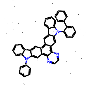 c1ccc(-c2ccccc2-n2c3ccccc3c3cc4c5cc6c7ccccc7n(-c7ccccc7)c6cc5c5nccnc5c4cc32)cc1